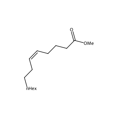 CCCCCCCC/C=C\CCCC(=O)OC